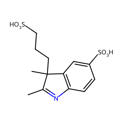 CC1=Nc2ccc(S(=O)(=O)O)cc2C1(C)CCCS(=O)(=O)O